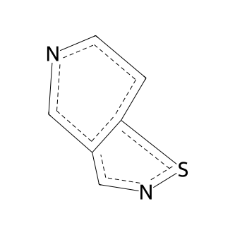 c1cc2sncc2cn1